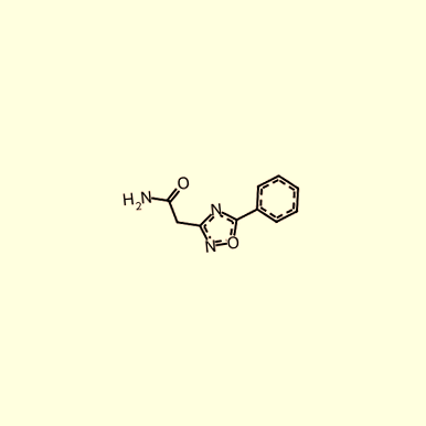 NC(=O)Cc1noc(-c2ccccc2)n1